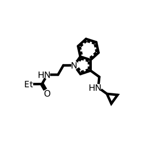 CCC(=O)NCCn1cc(CNC2CC2)c2ccccc21